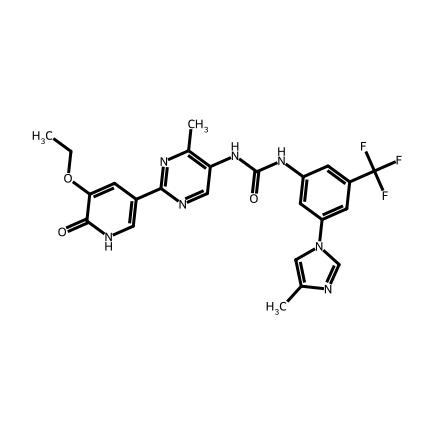 CCOc1cc(-c2ncc(NC(=O)Nc3cc(-n4cnc(C)c4)cc(C(F)(F)F)c3)c(C)n2)c[nH]c1=O